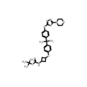 CC(C)(C)OC(=O)NC1CC(Oc2ccc(C(C)(C)c3ccc(Oc4nnc(N5CCOCC5)s4)cc3)cc2)C1